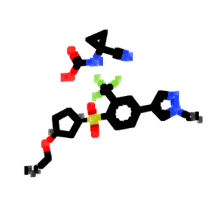 CCO[C@H]1CC[C@H](S(=O)(=O)c2ccc(-c3cnn(C)c3)cc2C(F)(F)F)C1.N#CC1(NC(=O)O)CC1